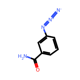 [N-]=[N+]=Nc1cccc(C(N)=O)c1